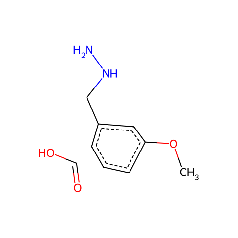 COc1cccc(CNN)c1.O=CO